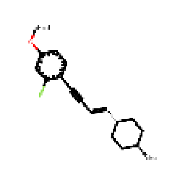 CCCCCOc1ccc(C#C/C=C/[C@H]2CC[C@H](CCCC)CC2)c(F)c1